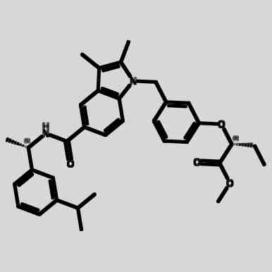 CC[C@@H](Oc1cccc(Cn2c(C)c(C)c3cc(C(=O)N[C@@H](C)c4cccc(C(C)C)c4)ccc32)c1)C(=O)OC